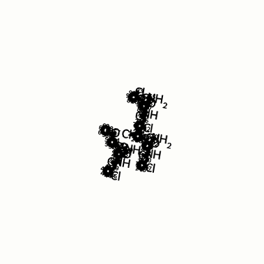 NS(=O)(=O)c1cc(NC(=O)Cc2ccccc2Cl)ccc1Oc1ccc(Cl)cc1.NS(=O)(=O)c1cc(NC(=O)Cc2ccccc2Cl)ccc1Oc1cccc(C(=O)N2CCCCC2)c1.NS(=O)(=O)c1cc(NC(=O)Cc2ccccc2Cl)ccc1Oc1ccccc1Cl